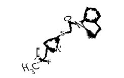 CC(F)(F)c1ccc(SCC(=O)N2CCCc3ccccc32)nc1